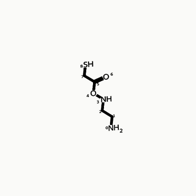 NCCNOC(=O)CS